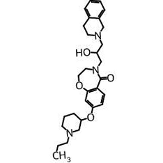 CCCN1CCCC(Oc2ccc3c(c2)OCCN(CC(O)CN2CCc4ccccc4C2)C3=O)C1